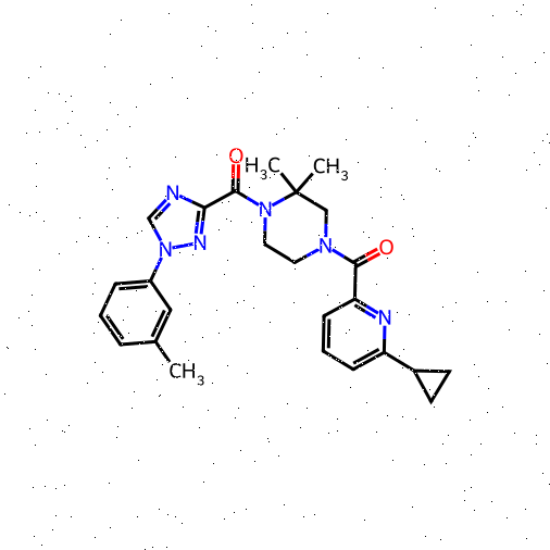 Cc1cccc(-n2cnc(C(=O)N3CCN(C(=O)c4cccc(C5CC5)n4)CC3(C)C)n2)c1